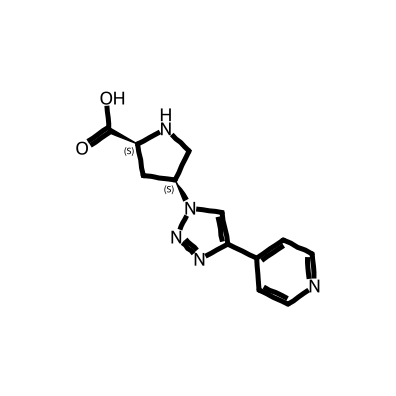 O=C(O)[C@@H]1C[C@H](n2cc(-c3ccncc3)nn2)CN1